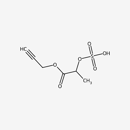 C#CCOC(=O)C(C)OS(=O)(=O)O